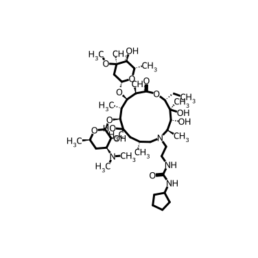 CC[C@H]1OC(=O)[C@H](C)[C@H](O[C@@H]2C[C@@](C)(OC)[C@@H](O)[C@H](C)O2)[C@@H](C)[C@H](O[C@@H]2O[C@H](C)C[C@H](N(C)C)[C@H]2O)[C@](C)(O)C[C@@H](C)CN(CCNC(=O)NC2CCCC2)[C@H](C)[C@@H](O)[C@]1(C)O